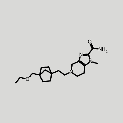 CCOCC12CCC(CCN3CCc4c(nc(C(N)=O)n4C)C3)(CC1)C2